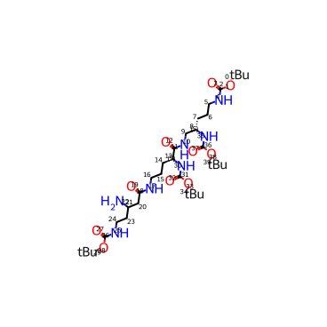 CC(C)(C)OC(=O)NCCC[C@@H](CNC(=O)[C@H](CCCNC(=O)CC(N)CCNC(=O)OC(C)(C)C)NC(=O)OC(C)(C)C)NC(=O)OC(C)(C)C